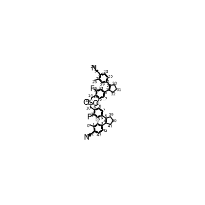 Cc1cc(C2=C(c3ccc(CS(=O)(=O)Cc4ccc(C5=C(c6ccc(C#N)c(C)c6)CCC5)cc4F)c(F)c3)CCC2)ccc1C#N